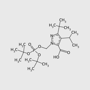 CC(C)c1c(C(C)(C)C)nn(COP(=O)(OC(C)(C)C)OC(C)(C)C)c1C(=O)O